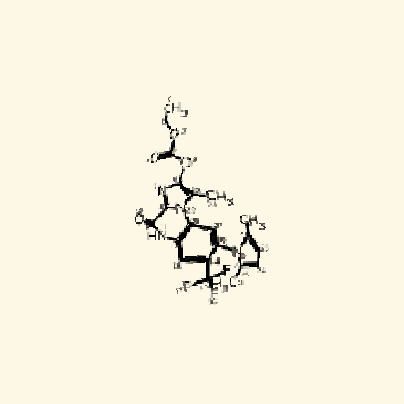 CCOC(=O)Oc1nc2c(=O)[nH]c3cc(C(F)(F)F)c(-n4c(C)ccc4C)cc3n2c1C